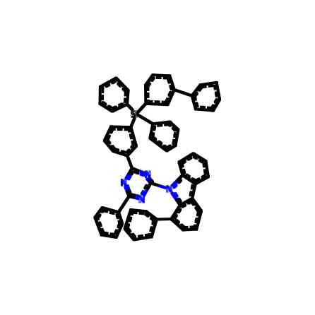 c1ccc(-c2cccc([Si](c3ccccc3)(c3ccccc3)c3cccc(-c4nc(-c5ccccc5)nc(-n5c6ccccc6c6cccc(-c7ccccc7)c65)n4)c3)c2)cc1